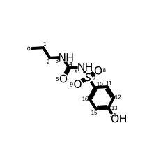 CCCNC(=O)NS(=O)(=O)c1ccc(O)cc1